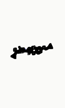 C[C@@H](/C=C/c1cnc(Oc2ccc(OCC3CC3)cc2Cl)s1)NC(=O)C1CC1